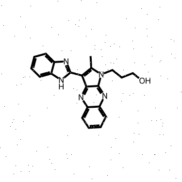 Cc1c(-c2nc3ccccc3[nH]2)c2nc3ccccc3nc2n1CCCO